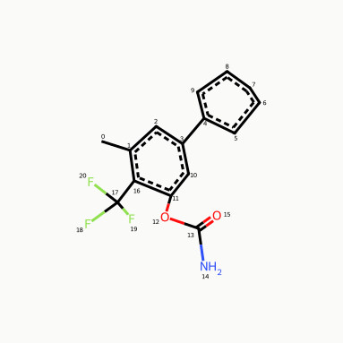 Cc1cc(-c2ccccc2)cc(OC(N)=O)c1C(F)(F)F